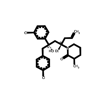 C=CC[C@@](CC)(C[C@@](O)(Cc1ccc(Cl)cc1)c1cccc(Cl)c1)N1CCCC(C)C1=O